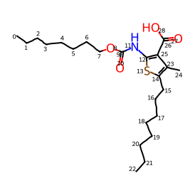 CCCCCCCCOC(=O)Nc1sc(CCCCCCCC)c(C)c1C(=O)O